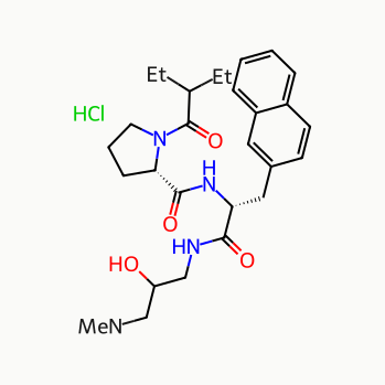 CCC(CC)C(=O)N1CCC[C@H]1C(=O)N[C@H](Cc1ccc2ccccc2c1)C(=O)NCC(O)CNC.Cl